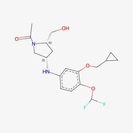 CC(=O)N1C[C@@H](Nc2ccc(OC(F)F)c(OCC3CC3)c2)C[C@H]1CO